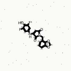 O=C1C=C(Nc2cc(F)c(O)c(F)c2)C(=O)N1Cc1cccc2c1OCO2